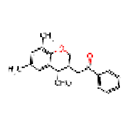 Cc1cc(C)c2c(c1)C(C=O)C(CC(=O)c1ccccc1)CO2